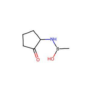 CB(O)NC1CCCC1=O